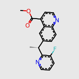 COC(=O)c1ccnc2ccc([C@@H](C)c3ncccc3F)cc12